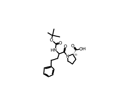 CC(C)(C)OC(=O)NC(CCc1ccccc1)C(=O)N1CCC[C@H]1C(=O)O